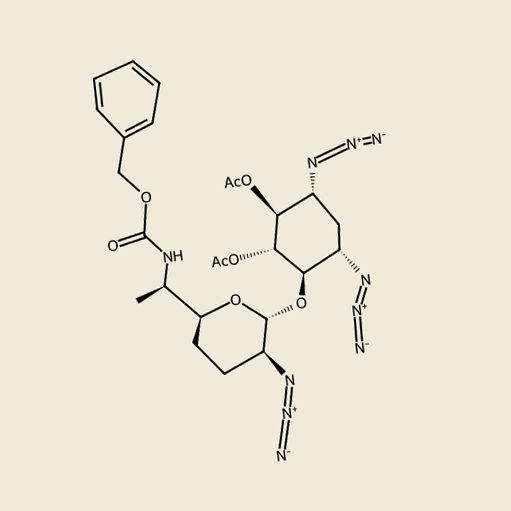 CC(=O)O[C@@H]1[C@@H](OC(C)=O)[C@H](N=[N+]=[N-])C[C@H](N=[N+]=[N-])[C@H]1O[C@H]1O[C@H]([C@@H](C)NC(=O)OCc2ccccc2)CC[C@@H]1N=[N+]=[N-]